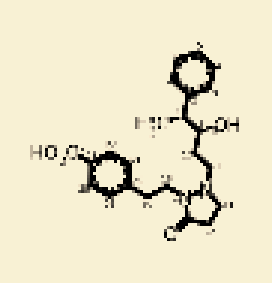 C[C@@H](c1ccccc1)[C@@H](O)CCN1CCC(=O)N1CCc1ccc(C(=O)O)cc1